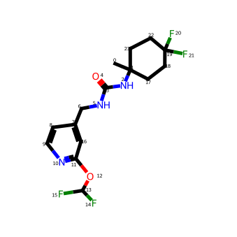 CC1(NC(=O)NCc2ccnc(OC(F)F)c2)CCC(F)(F)CC1